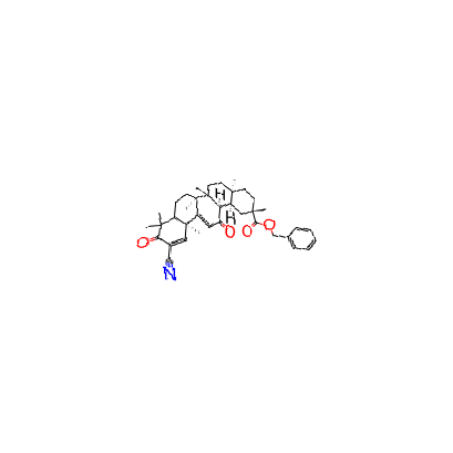 CC1(C)C(=O)C(C#N)=C[C@]2(C)C3=CC(=O)[C@@H]4[C@@H]5C[C@@](C)(C(=O)OCc6ccccc6)CC[C@]5(C)CC[C@@]4(C)[C@]3(C)CCC12